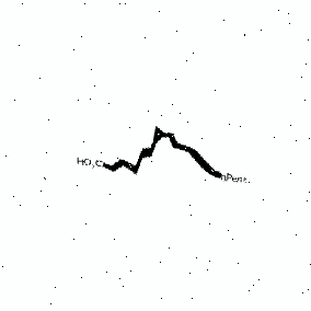 CCCCC/C=C/C=C/C1CC1/C=C/CCCC(=O)O